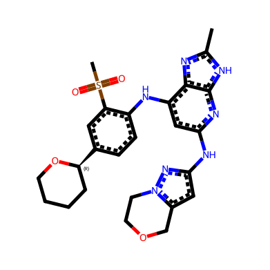 Cc1nc2c(Nc3ccc([C@H]4CCCCO4)cc3S(C)(=O)=O)cc(Nc3cc4n(n3)CCOC4)nc2[nH]1